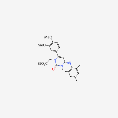 CCOC(=O)Cn1c(-c2ccc(OC)c(OC)c2)c/c(=N/c2c(C)cc(C)cc2C)n(C)c1=O